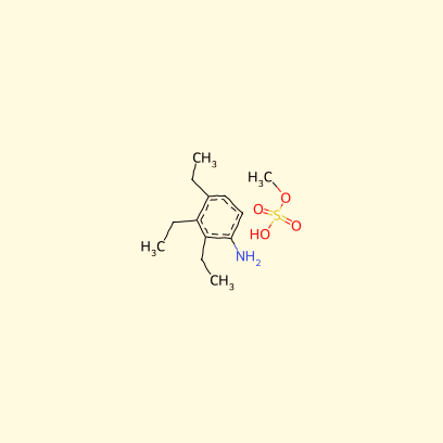 CCc1ccc(N)c(CC)c1CC.COS(=O)(=O)O